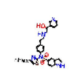 CCCCCCc1csc(N(c2ccc(CCNCC(O)c3cccnc3)cc2)S(=O)(=O)c2ccc3c(c2)CCN3)n1